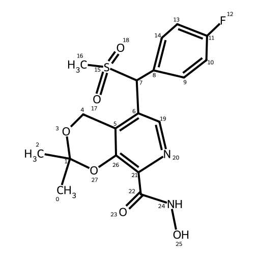 CC1(C)OCc2c(C(c3ccc(F)cc3)S(C)(=O)=O)cnc(C(=O)NO)c2O1